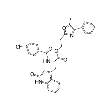 Cc1oc(CCOC(=O)C(Cc2cc(=O)[nH]c3ccccc23)NC(=O)c2ccc(Cl)cc2)nc1-c1ccccc1